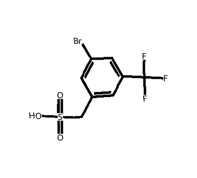 O=S(=O)(O)Cc1cc(Br)cc(C(F)(F)F)c1